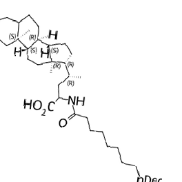 CCCCCCCCCCCCCCCCCC(=O)NC(C[C@@H](C)[C@H]1CC[C@H]2[C@@H]3CCC4CCCC[C@]4(C)[C@H]3CC[C@]12C)C(=O)O